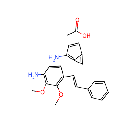 CC(=O)O.COc1c(N)ccc(C=Cc2ccccc2)c1OC.Nc1ccc2cc1-2